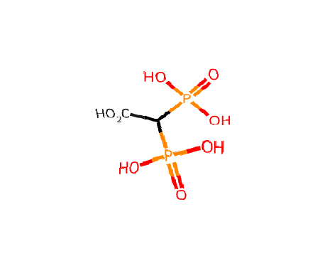 O=C(O)C(P(=O)(O)O)P(=O)(O)O